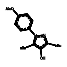 CCCCc1nn(-c2ccc(OC)cc2)c(CCCC)c1O